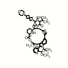 CCn1c(-c2cccnc2[C@H](C)OC)c2c3cc(ccc31)-c1csc(n1)C[C@H](NC(=O)C(C(C)C)N(C)C(=O)N1CC3(CC(N4CCOCC4)C3)C1)C(=O)N1CCC[C@H](N1)C(=O)OCC(C)(C)C2